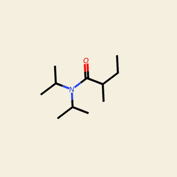 CCC(C)C(=O)N(C(C)C)C(C)C